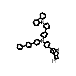 c1ccc(-c2ccc(-c3ccc(N(c4ccc(-c5cccc(-n6c7ccccc7c7ccccc76)c5)cc4)c4ccc(C56CC7C8C(C[C@H]7C5)C[C@H]8C6)cc4)cc3)cc2)cc1